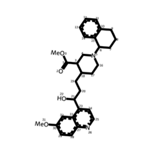 COC(=O)C1CN(C2CCCc3ccccc32)CCC1CCC(O)c1ccnc2ccc(OC)cc12